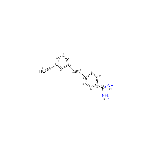 C#Cc1cccc(C#Cc2ccc(C(=N)N)cc2)c1